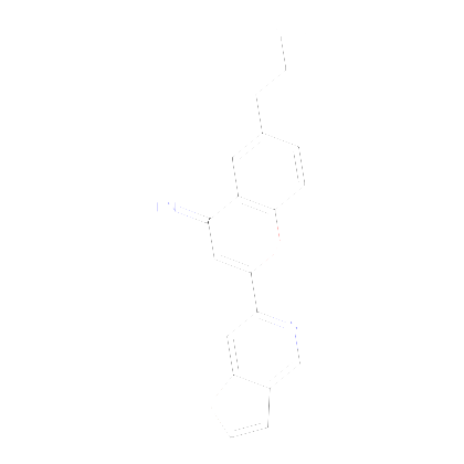 N=c1cc(-c2cc3sccc3cn2)oc2ccc(CCC=O)cc12